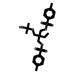 CCC(COC(C)(C)O)(COS(=O)(=O)c1ccc(C)cc1)COS(=O)(=O)c1ccc(C)cc1